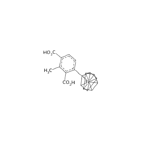 Cc1c(C(=O)O)ccc([C]23[CH]4[CH]5[CH]6[CH]2[Fe]56432789[CH]3[CH]2[CH]7[CH]8[CH]39)c1C(=O)O